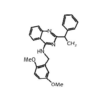 COc1ccc(OC)c(CNc2nc(C(C)c3ccccc3)nc3ccccc23)c1